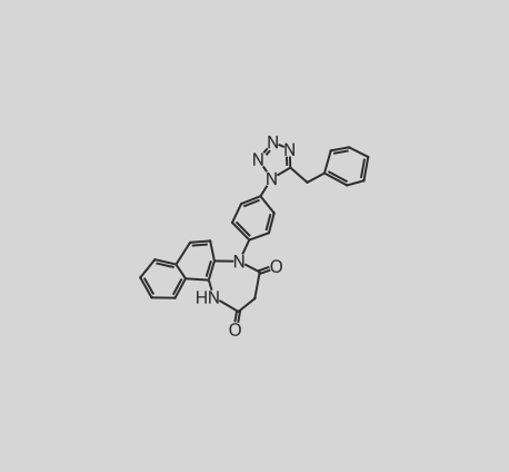 O=C1CC(=O)N(c2ccc(-n3nnnc3Cc3ccccc3)cc2)c2ccc3ccccc3c2N1